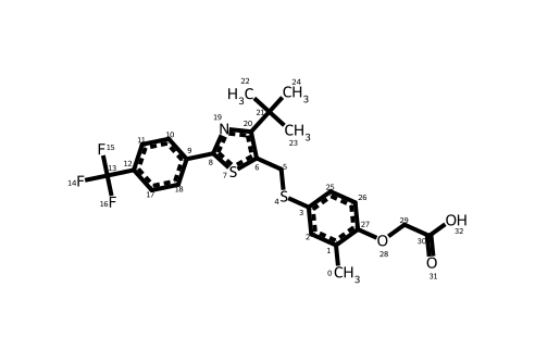 Cc1cc(SCc2sc(-c3ccc(C(F)(F)F)cc3)nc2C(C)(C)C)ccc1OCC(=O)O